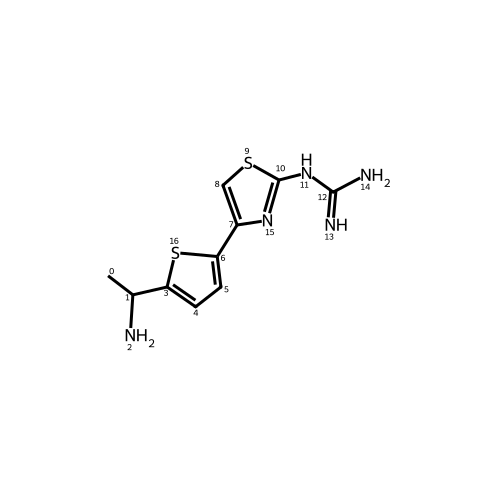 CC(N)c1ccc(-c2csc(NC(=N)N)n2)s1